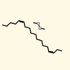 CC/C=C\CCCCCCCC/C=C\CCCC.COOC